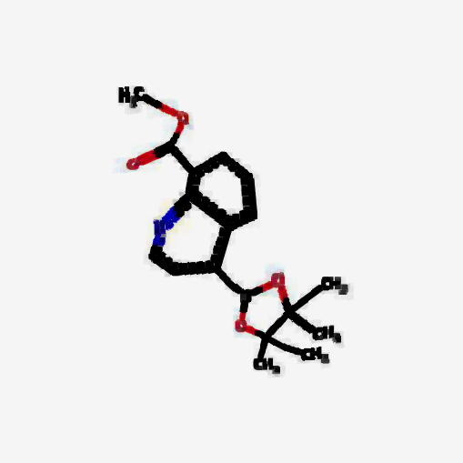 COC(=O)c1cccc2c(B3OC(C)(C)C(C)(C)O3)ccnc12